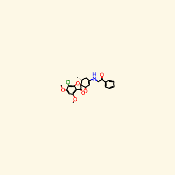 COc1cc(OC)c2c(c1Cl)O[C@@]1(C(=O)C=C(NCC(=O)c3ccccc3)C[C@H]1C)C2=O